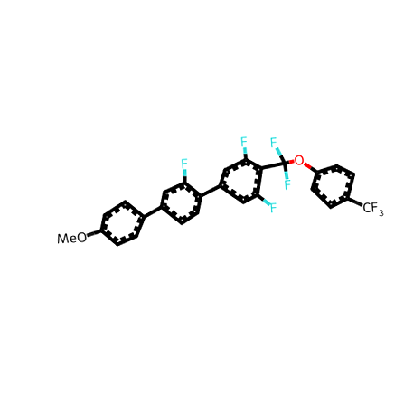 COc1ccc(-c2ccc(-c3cc(F)c(C(F)(F)Oc4ccc(C(F)(F)F)cc4)c(F)c3)c(F)c2)cc1